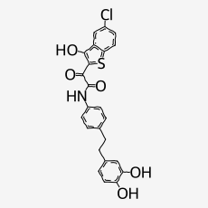 O=C(Nc1ccc(CCc2ccc(O)c(O)c2)cc1)C(=O)c1sc2ccc(Cl)cc2c1O